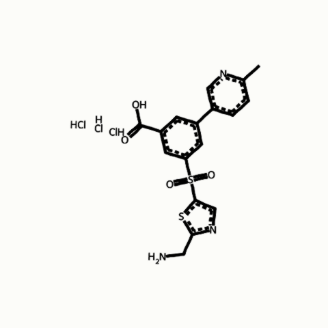 Cc1ccc(-c2cc(C(=O)O)cc(S(=O)(=O)c3cnc(CN)s3)c2)cn1.Cl.Cl.Cl